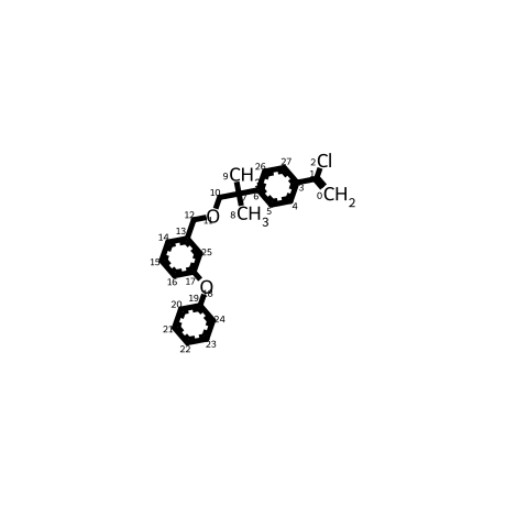 C=C(Cl)c1ccc(C(C)(C)COCc2cccc(Oc3ccccc3)c2)cc1